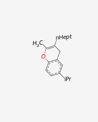 CCCCCCCC1=C(C)Oc2ccc(C(C)C)cc2C1